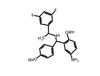 COc1ccc(C(NC(C)c2cc(F)cc(F)c2)c2cc(N)ccc2OC)cc1